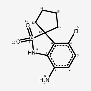 Nc1ccc(Cl)c2c1NS(=O)(=O)C21CCCC1